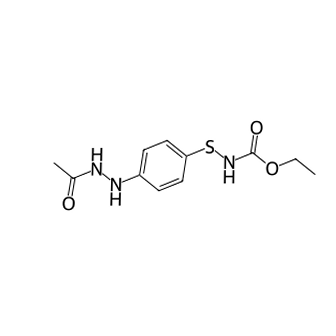 CCOC(=O)NSc1ccc(NNC(C)=O)cc1